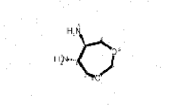 N[C@H]1COCOC[C@@H]1N